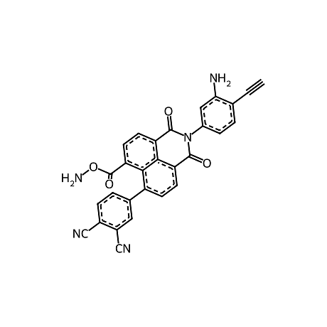 C#Cc1ccc(N2C(=O)c3ccc(C(=O)ON)c4c(-c5ccc(C#N)c(C#N)c5)ccc(c34)C2=O)cc1N